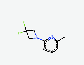 Cc1[c]ccc(N2CC(F)(F)C2)n1